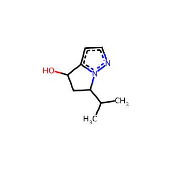 CC(C)C1CC(O)c2ccnn21